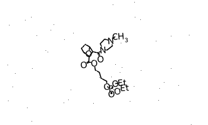 CCOP(=O)(OCC)OCCCCOC(=O)C1C2CCC(O2)C1C(=O)N1CCN(C)CC1